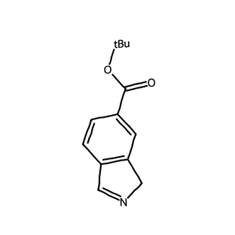 CC(C)(C)OC(=O)c1ccc2c(c1)CN=C2